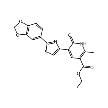 CCOC(=O)c1cc(-c2csc(-c3ccc4c(c3)OCO4)n2)c(=O)[nH]c1C